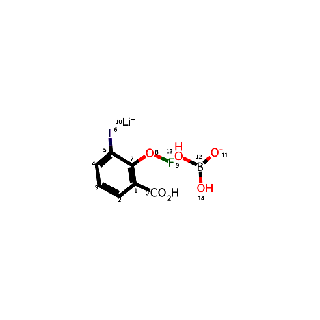 O=C(O)c1cccc(I)c1OF.[Li+].[O-]B(O)O